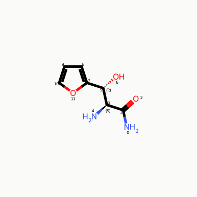 NC(=O)[C@@H](N)[C@@H](O)c1ccco1